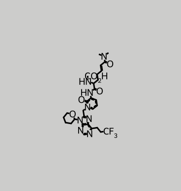 CN(C)C(=O)/C=C/CCC(NC(=O)O)C(=O)Nc1cccn(Cc2nc3c(CCC(F)(F)F)ncnc3n2C2CCCCO2)c1=O